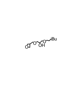 CCC(C)CCOCC(O)COCC1COC1